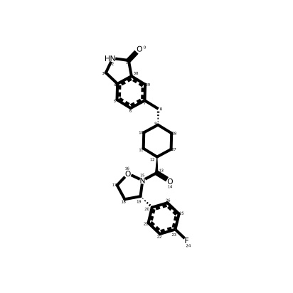 O=C1NCc2ccc(C[C@H]3CC[C@H](C(=O)N4OCC[C@H]4c4ccc(F)cc4)CC3)cc21